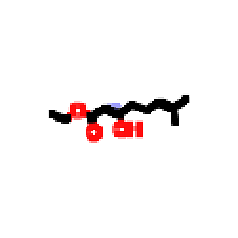 CCOC(=O)/C=C(\O)CCC=C(C)C